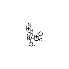 Cc1cccc(-c2nn3c(c2-c2ccc(=O)n(-c4ccccc4C)n2)NCC(CN2CCN(C)CC2)C3)c1